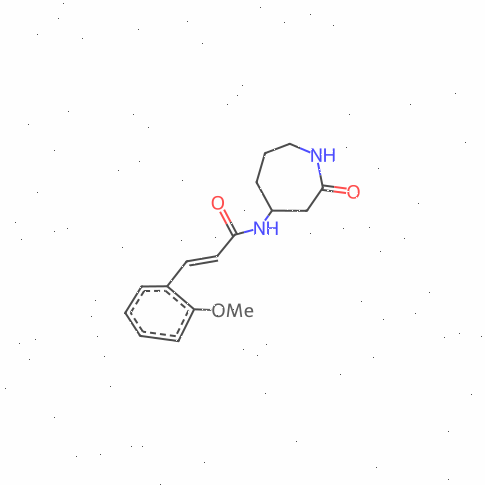 COc1ccccc1C=CC(=O)NC1CCCNC(=O)C1